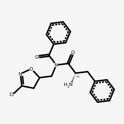 N[C@@H](Cc1ccccc1)C(=O)N(CC1CC(Cl)=NO1)C(=O)c1ccccc1